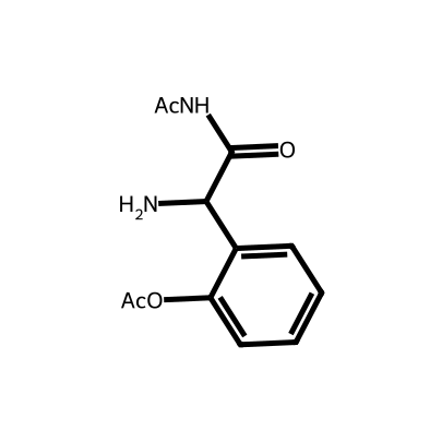 CC(=O)NC(=O)C(N)c1ccccc1OC(C)=O